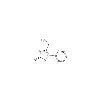 CCc1[nH]c(=O)oc1-c1ccccn1